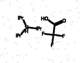 CC(C)[SiH](C(C)C)C(C)C.O=C(O)C(F)(F)F